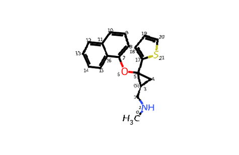 CNC[C@@H]1CC1(Oc1cccc2ccccc12)c1cccs1